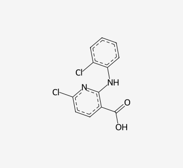 O=C(O)c1ccc(Cl)nc1Nc1ccccc1Cl